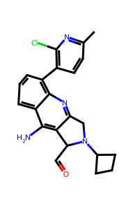 Cc1ccc(-c2cccc3c(N)c4c(nc23)CN(C2CCC2)C4C=O)c(Cl)n1